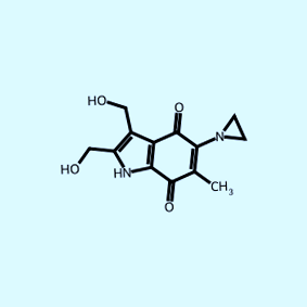 CC1=C(N2CC2)C(=O)c2c([nH]c(CO)c2CO)C1=O